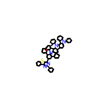 CC1CC=CC=C1n1c2c(ccc3c2c2ccccc2n3-c2ccccc2)c2ccc3c(c4ccccc4n3-c3c(-c4ccccc4)cc(-c4nc(-c5ccccc5)nc5c4sc4ccccc45)cc3-c3ccccc3)c21